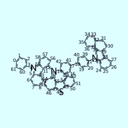 c1ccc(-n2c3ccccc3c3c(N(c4ccc(-c5ccc(-n6c7ccccc7c7ccc8ccccc8c76)cc5)cc4)c4cccc5sc6ccccc6c45)cccc32)cc1